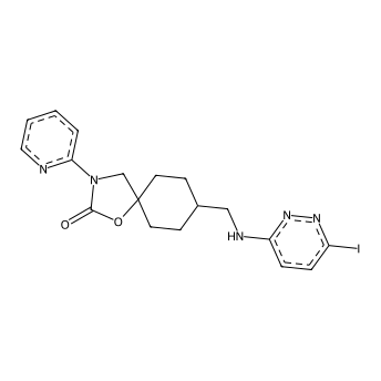 O=C1OC2(CCC(CNc3ccc(I)nn3)CC2)CN1c1ccccn1